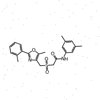 Cc1cc(C)cc(NC(=O)CS(=O)(=O)Cc2nc(-c3ccccc3C)oc2C)c1